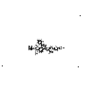 CCNC(=O)Nc1cc(Nc2cccnc2)c(C(=O)Nc2cnc(N3CC(O)C3)nc2)cn1